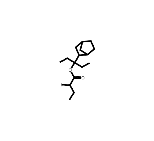 CCC(I)C(=O)OC(CC)(CC)C1CC2CCC1C2